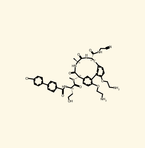 C[C@@H]1NC(=O)[C@@H](N(C)C(=O)[C@H](CCO)NC(=O)c2ccc(-c3ccc(Cl)cc3)cc2)c2ccc(OCCN)c(c2)-c2cc(ccc2OCCN)C[C@@H](C(=O)NCC#N)NC1=O